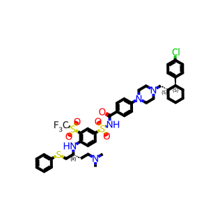 CN(C)CC[C@H](CSc1ccccc1)Nc1ccc(S(=O)(=O)NC(=O)c2ccc(N3CCN(C[C@H]4CCCC[C@@H]4c4ccc(Cl)cc4)CC3)cc2)cc1S(=O)(=O)C(F)(F)F